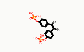 CCC(=C(CC)c1ccc(OP(=O)(O)O)cc1)c1ccc(OP(=O)(O)O)cc1